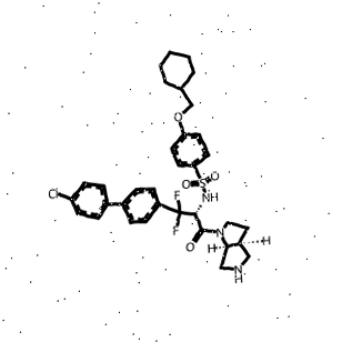 O=C([C@@H](NS(=O)(=O)c1ccc(OCC2CCCCC2)cc1)C(F)(F)c1ccc(-c2ccc(Cl)cc2)cc1)N1CC[C@H]2CNC[C@H]21